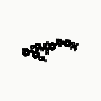 Cc1ccc(Cc2cccnc2)c(N2C(=O)CS/C2=N\C(=O)Nc2ccc(-c3ncn(-c4ccc(OC(F)(F)F)cc4)n3)cc2F)c1